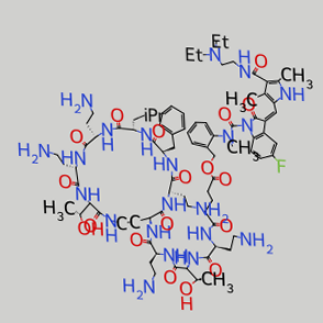 CCN(CC)CCNC(=O)c1c(C)[nH]c(/C=C2\C(=O)N(C(=O)N(C)c3ccccc3COC(=O)CCCC(=O)N[C@@H](CCN)C(=O)N[C@H](C(=O)N[C@@H](CCN)C(=O)N[C@H]3CCNC(=O)[C@H]([C@@H](C)O)NC(=O)[C@H](CCN)NC(=O)[C@H](CCN)NC(=O)[C@H](CC(C)C)NC(=O)[C@@H](Cc4ccccc4)NC(=O)[C@H](CCN)NC3=O)[C@@H](C)O)c3ccc(F)cc32)c1C